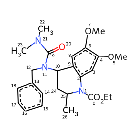 CCOC(=O)N1c2cc(OC)c(OC)cc2C(N(Cc2ccccc2)C(=O)N(C)C)CC1C